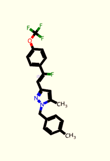 Cc1ccc(Cn2nc(/C=C(\F)c3ccc(OC(F)(F)F)cc3)cc2C)cc1